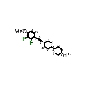 CCC[C@H]1CC[C@H]([C@H]2CC[C@H](C#Cc3ccc(OC)c(F)c3F)CC2)CC1